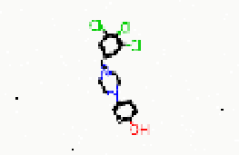 Oc1ccc(N2CCN(Cc3cc(Cl)c(Cl)c(Cl)c3)CC2)cc1